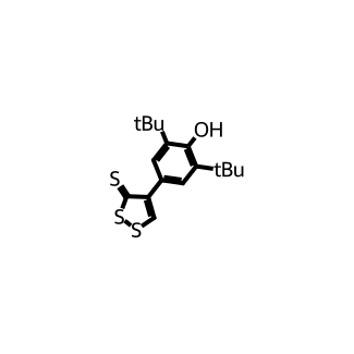 CC(C)(C)c1cc(-c2cssc2=S)cc(C(C)(C)C)c1O